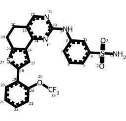 NS(=O)(=O)c1cccc(Nc2ncc3c(n2)-c2cc(-c4ccccc4OC(F)(F)F)sc2CC3)c1